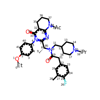 CCOc1ccc(-n2c([C@@H](C)N(CC3CCN(C(C)C)CC3)C(=O)Cc3ccc(F)c(C)c3)nc3c(c2=O)CCCN3C(C)=O)cc1